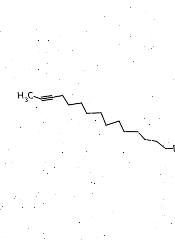 CC#CCCCCCCCCCCCCBr